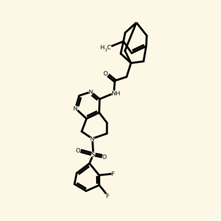 CC12C=C3CC(C1)CC(CC(=O)Nc1ncnc4c1CCN(S(=O)(=O)c1cccc(F)c1F)C4)(C3)C2